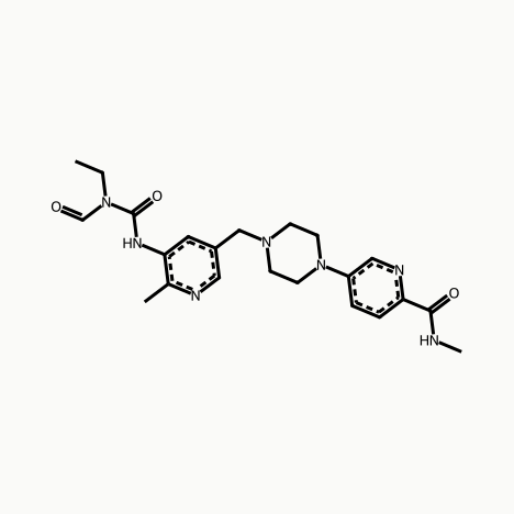 CCN(C=O)C(=O)Nc1cc(CN2CCN(c3ccc(C(=O)NC)nc3)CC2)cnc1C